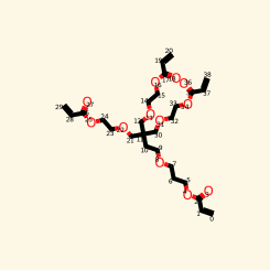 C=CC(=O)OCCCOCCC(COCCOC(=O)C=C)(COCCOC(=O)C=C)COCCOC(=O)C=C